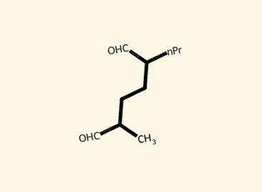 CCCC(C=O)CCC(C)C=O